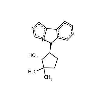 CC1(C)CC[C@H](C2c3ccccc3-c3cncn32)[C@H]1O